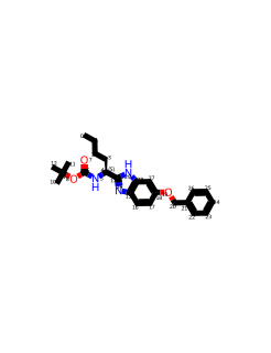 CCCC[C@H](NC(=O)OC(C)(C)C)c1nc2ccc(OCc3ccccc3)cc2[nH]1